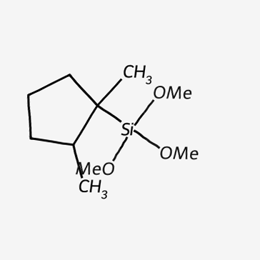 CO[Si](OC)(OC)C1(C)CCCC1C